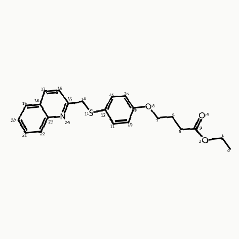 CCOC(=O)CCCOc1ccc(SCc2ccc3ccccc3n2)cc1